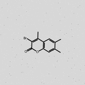 Cc1cc2oc(=O)c(Br)c(C)c2cc1C